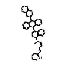 CC(/C=C\C=C\C1C=CC=CN1)c1ccc(-c2c3ccccc3c(-c3ccc4ccccc4c3)c3ccccc23)c2ccccc12